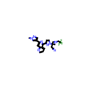 Cn1cc(-c2cc3ncccc3c(-c3ccn(C4(CC#N)CN(CC(F)(F)F)C4)n3)n2)cn1